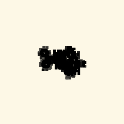 CCNC(=O)[C@H]1O[C@H](n2cnc3c(NCC(c4ccccc4)c4ccccc4)nc(NC(CO)C(C)C)nc32)[C@@H]2OC(C)(C)O[C@@H]21